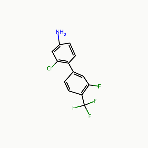 Nc1ccc(-c2ccc(C(F)(F)F)c(F)c2)c(Cl)c1